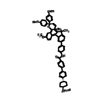 CCCCC[C@H]1CC[C@H](c2ccc(-c3ccc(C(=O)Nc4ccc(-c5ccc6c(c5)-c5c(c7c(c8cc(OC(F)(F)F)ccc58)OC(c5ccc(OC)cc5)(c5ccc(OC)cc5)C=C7)C6(C)CCCC)cc4)cc3)cc2)CC1